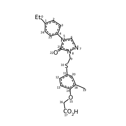 CCc1ccc(-n2cnn(CSc3ccc(OCC(=O)O)c(C)c3)c2=O)cc1